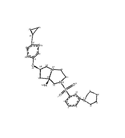 O=S(=O)(c1cccc(N2CCCC2)n1)N1CCN2C[C@H](Oc3cnc(C4CC4)cn3)C[C@H]2C1